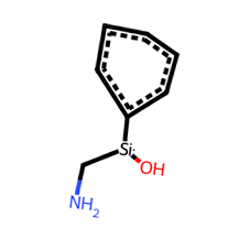 NC[Si](O)c1ccccc1